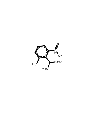 COC(OC)c1c(C)cccc1[PH](=O)O